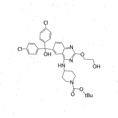 CC(C)(C)OC(=O)N1CCC(Nc2nc(OCCO)nc3ccc(C(O)(c4ccc(Cl)cc4)c4ccc(Cl)cc4)cc23)CC1